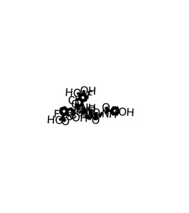 O=C(NCCS(=O)(=O)N1CCN(C(=O)N[C@H](C(=O)N[C@H]2Cc3ccc(F)c(C(=O)O)c3OB2O)c2cc(F)c(O)c(O)c2Cl)C1=O)c1ccc(O)cc1